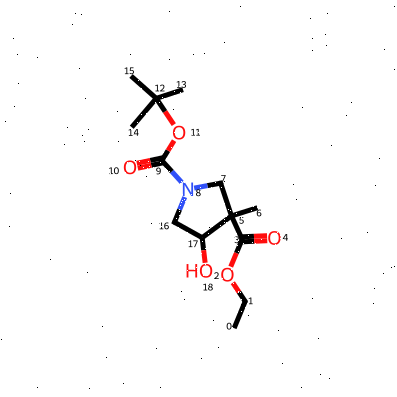 CCOC(=O)C1(C)CN(C(=O)OC(C)(C)C)CC1O